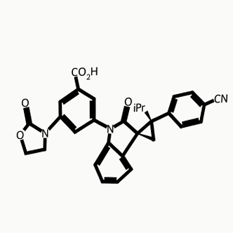 CC(C)[C@@]1(c2ccc(C#N)cc2)C[C@@]12C(=O)N(c1cc(C(=O)O)cc(N3CCOC3=O)c1)c1ccccc12